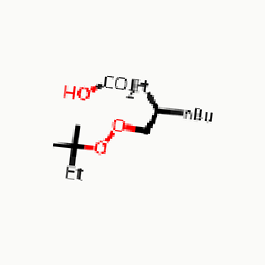 CCCCC(CC)COOC(C)(C)CC.O=C(O)O